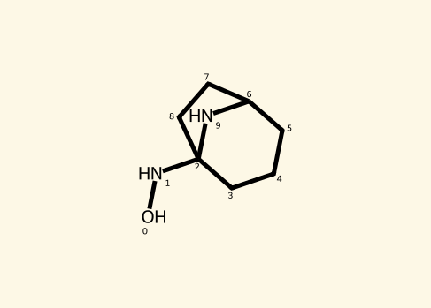 ONC12CCCC(CC1)N2